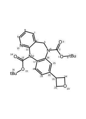 CC(C)(C)OC(=O)N1Cc2cccnc2N(C(=O)OC(C)(C)C)c2ccc(C3COC3)cc21